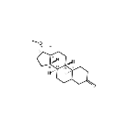 CO[C@H]1CC[C@H]2[C@@H]3CCC4CC(=O)CC[C@]4(C)[C@H]3CC[C@]12C